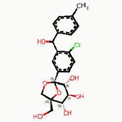 Cc1ccc(C(O)c2cc([C@]34OC[C@](CO)(O3)[C@@H](O)[C@H](O)[C@H]4O)ccc2Cl)cc1